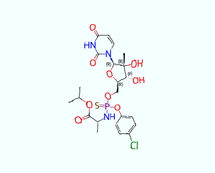 CC(C)OC(=O)C(C)NP(=S)(OC[C@H]1O[C@@H](n2ccc(=O)[nH]c2=O)[C@](C)(O)[C@@H]1O)Oc1ccc(Cl)cc1